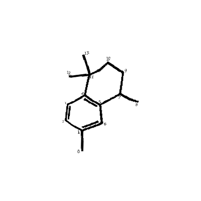 Cc1ccc2c(c1)C(C)CCC2(C)C